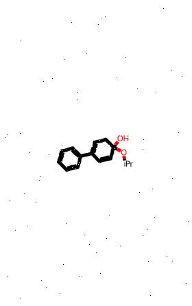 CC(C)OC1(O)C=CC(c2ccccc2)=CC1